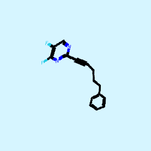 Fc1cnc(C#CCCCc2ccccc2)nc1F